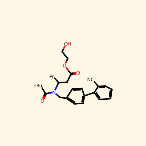 CCCCC(=O)N(Cc1ccc(-c2ccccc2C#N)cc1)C(CC(=O)OCCO)C(C)C